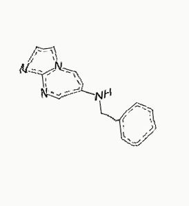 c1ccc(CNc2cnc3nccn3c2)cc1